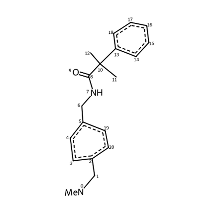 CNCc1ccc(CNC(=O)C(C)(C)c2ccccc2)cc1